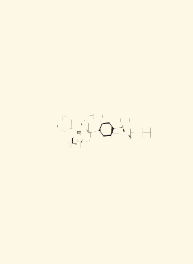 CC(C)CC1c2ccc(C(=O)NO)cc2OCCN1C(=O)C1CCOCC1